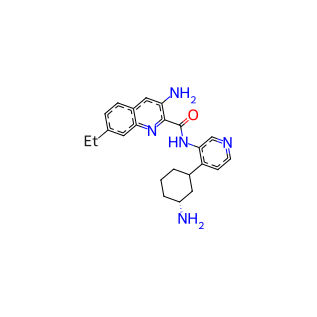 CCc1ccc2cc(N)c(C(=O)Nc3cnccc3C3CCC[C@@H](N)C3)nc2c1